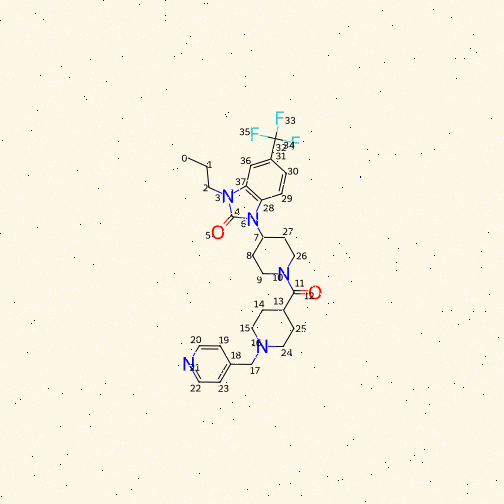 CCCn1c(=O)n(C2CCN(C(=O)C3CCN(Cc4ccncc4)CC3)CC2)c2ccc(C(F)(F)F)cc21